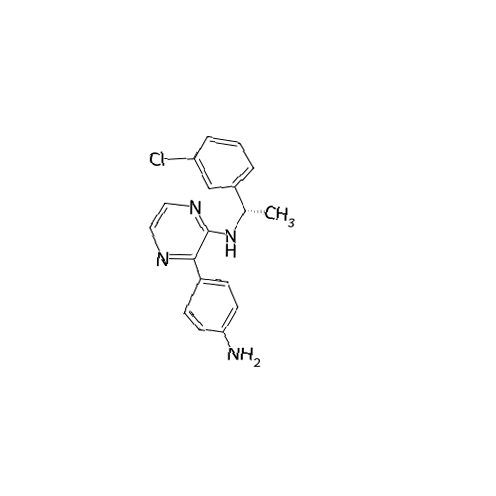 C[C@H](Nc1nccnc1-c1ccc(N)cc1)c1cccc(Cl)c1